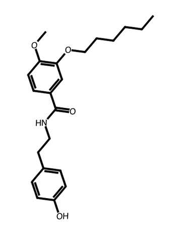 CCCCCCOc1cc(C(=O)NCCc2ccc(O)cc2)ccc1OC